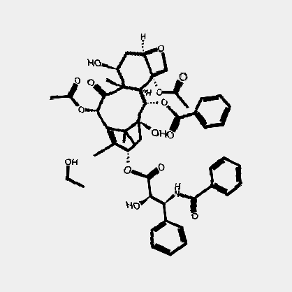 CC(=O)O[C@H]1C(=O)[C@@]2(C)[C@H]([C@H](OC(=O)c3ccccc3)[C@]3(O)C[C@H](OC(=O)[C@H](O)[C@@H](NC(=O)c4ccccc4)c4ccccc4)C(C)=C1C3(C)C)[C@]1(OC(C)=O)CO[C@@H]1C[C@@H]2O.CCO